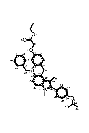 CCOC(=O)COc1ccc(Cc2c(OCc3ccccc3)ccc3[nH]c(-c4ccc(OC(C)C)cc4)c(C)c23)cc1